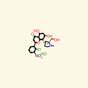 CN1CC[C@H](c2c(O)cc(O)c3c(=O)cc(-c4cccc([N+](=O)[O-])c4Cl)oc23)[C@H]1CO.Cl